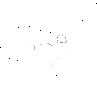 CC/C(=C\CCC(=O)O)c1ccccc1[C@@H](C)OC[C@H]1CO1